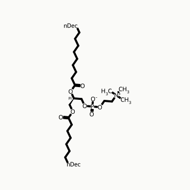 CCCCCCCCCCCCCCCCCCC(=O)O[C@H](COC(=O)CCCCCCCCCCCCCCCC)COP(=O)([O-])OCC[N+](C)(C)C